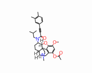 COc1cc(OC(C)=O)c2c3c1O[C@H]1C(N(CC(C)C)C(=O)C#Cc4ccc(C)c(C)c4)CC[C@H]4[C@@H](C2)N(C)CC[C@]314